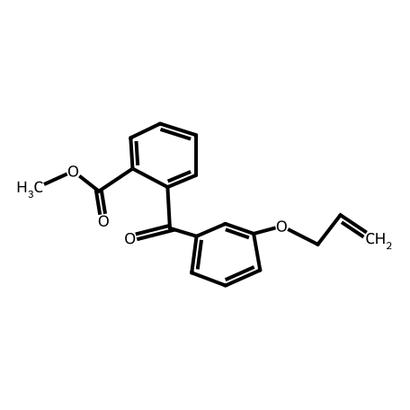 C=CCOc1cccc(C(=O)c2ccccc2C(=O)OC)c1